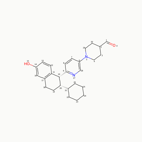 O=CC1CCN(c2ccc([C@H]3c4ccc(O)cc4CC[C@H]3C3CCCCC3)nc2)CC1